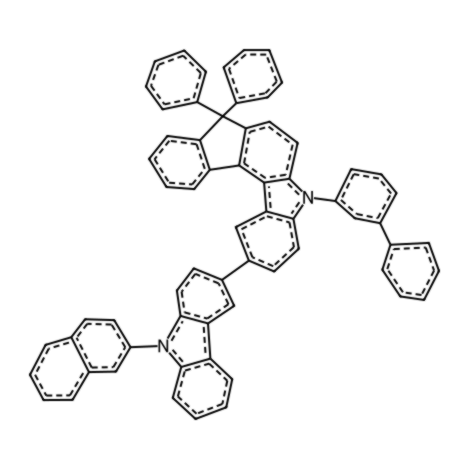 c1ccc(-c2cccc(-n3c4ccc(-c5ccc6c(c5)c5ccccc5n6-c5ccc6ccccc6c5)cc4c4c5c(ccc43)C(c3ccccc3)(c3ccccc3)c3ccccc3-5)c2)cc1